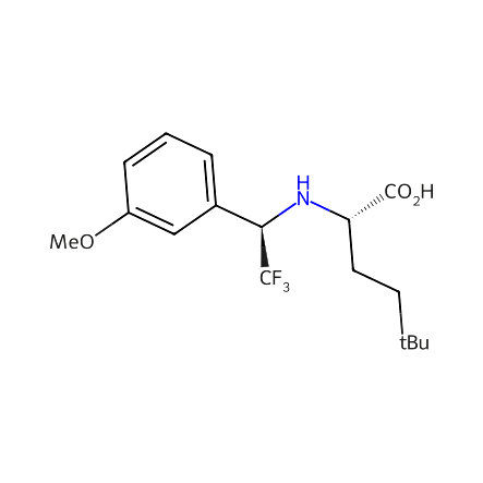 COc1cccc([C@@H](N[C@@H](CCC(C)(C)C)C(=O)O)C(F)(F)F)c1